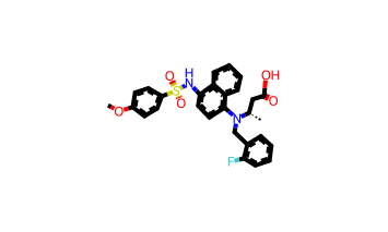 COc1ccc(S(=O)(=O)Nc2ccc(N(Cc3ccccc3F)[C@@H](C)CC(=O)O)c3ccccc23)cc1